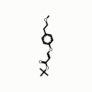 COCCc1ccc(OC=CC(=O)OC(C)(C)C)cc1